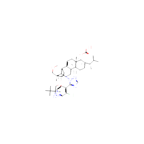 CC(C)[C@@H](C)[C@@]1(C)CC[C@]2(C)[C@H]3CC[C@@H]4[C@@]5(COC[C@@]4(C)[C@@H](OC[C@](C)(N)C(C)(C)C)[C@H](n4ncnc4-c4ccncc4Cl)C5)C3=CC[C@]2(C)[C@@H]1OC(=O)O